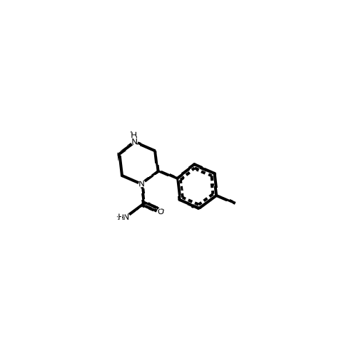 Cc1ccc(C2CNCCN2C([NH])=O)cc1